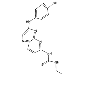 CCNC(=S)Nc1ccc2ncc(Nc3ccc(O)cc3)nc2n1